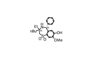 CCCC[C@]1(CC)CS(=O)(=O)c2cc(OC)c(O)cc2[C@@H](c2ccccc2)N1